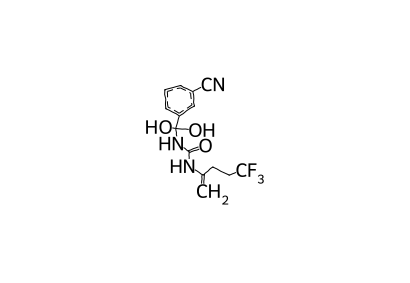 C=C(CCC(F)(F)F)NC(=O)NC(O)(O)c1cccc(C#N)c1